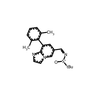 Cc1cccc(C)c1-c1cc(/C=N\[S+]([O-])C(C)(C)C)cn2ccnc12